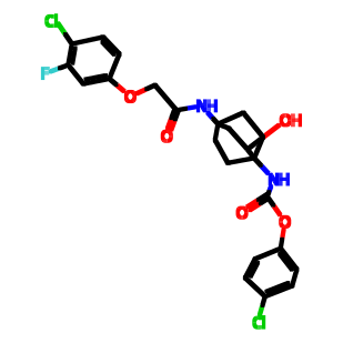 O=C(COc1ccc(Cl)c(F)c1)NC12CCC(NC(=O)Oc3ccc(Cl)cc3)(CC1)C(O)C2